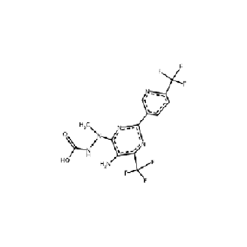 CN(NC(=O)O)c1nc(-c2ccc(C(F)(F)F)nc2)nc(C(F)(F)F)c1N